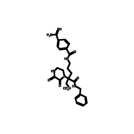 N=C(N)c1ccc(C(=O)NCCCC(CC(=O)O)(C(=O)NCc2ccccc2)N2CCNC(=O)C2=O)cc1